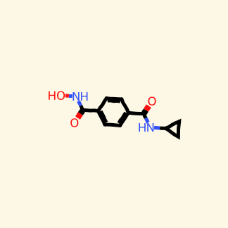 O=C(NO)c1ccc(C(=O)NC2CC2)cc1